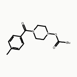 Cc1ccc(C(=O)N2CCN(OC(=O)C(C)(C)C)CC2)cc1